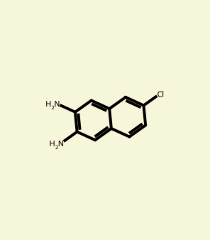 Nc1cc2ccc(Cl)cc2cc1N